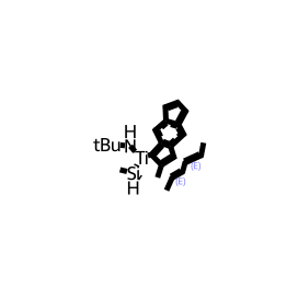 C/C=C/C=C/C.CC1=Cc2cc3c(cc2=[C]1[Ti]([NH]C(C)(C)C)[SiH](C)C)C=CC=3